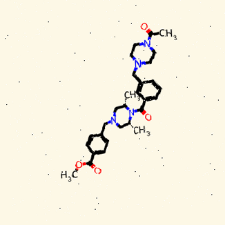 COC(=O)c1ccc(CN2C[C@@H](C)N(C(=O)c3cccc(CN4CCN(C(C)=O)CC4)c3)[C@@H](C)C2)cc1